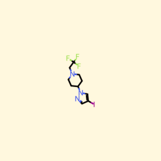 FC(F)(F)CN1CCC(n2cc(I)cn2)CC1